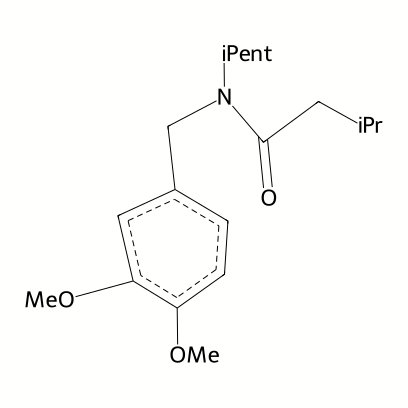 CCCC(C)N(Cc1ccc(OC)c(OC)c1)C(=O)CC(C)C